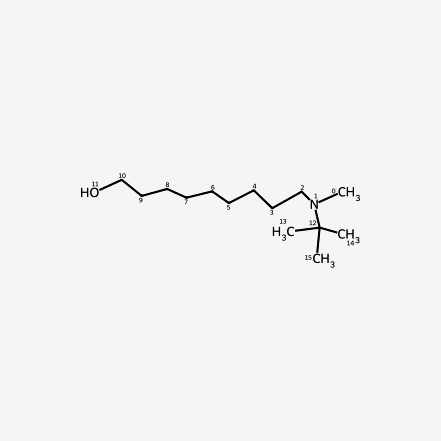 CN(CCCCCCCCCO)C(C)(C)C